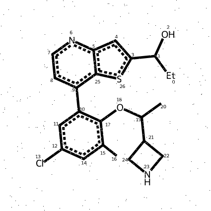 CCC(O)c1cc2nccc(-c3cc(Cl)cc(C)c3OC(C)C3CNC3)c2s1